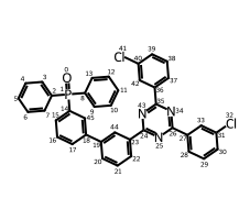 O=P(c1ccccc1)(c1ccccc1)c1cccc(-c2cccc(-c3nc(-c4cccc(Cl)c4)nc(-c4cccc(Cl)c4)n3)c2)c1